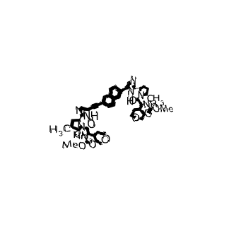 COC(=O)N[C@H](C(=O)N1[C@H](C)[C@H](C)C[C@H]1c1ncc(C#Cc2ccc3cc(-c4cnc([C@@H]5CC[C@H](C)N5C(=O)[C@@H](NC(=O)OC)C5CCOCC5)[nH]4)ccc3c2)[nH]1)C1CCOCC1